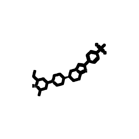 CCC1CC(N2CCC([C@H]3CCc4nc(-c5ccc(S(C)(=O)=O)cc5)cn4C3)CC2)CC(C)N1